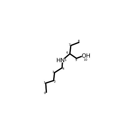 CCCCCNC(CC)CO